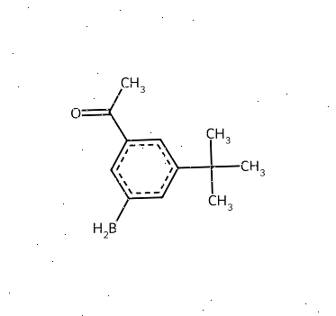 Bc1cc(C(C)=O)cc(C(C)(C)C)c1